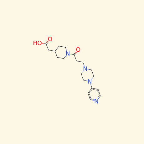 O=C(O)CC1CCN(C(=O)CCN2CCN(c3ccncc3)CC2)CC1